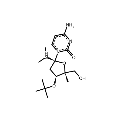 C[SiH](C)[C@]1(n2ccc(N)nc2=O)C[C@H](OC(C)(C)C)[C@@](C)(CO)O1